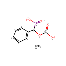 O=[Si](O)OC(c1ccccc1)[PH](=O)O.[BaH2]